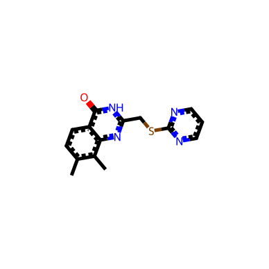 Cc1ccc2c(=O)[nH]c(CSc3ncccn3)nc2c1C